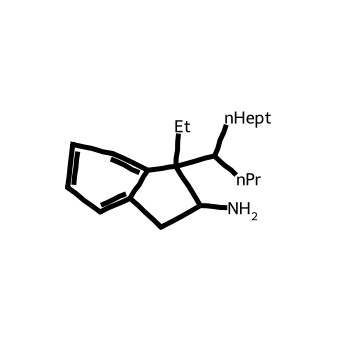 CCCCCCCC(CCC)C1(CC)c2ccccc2CC1N